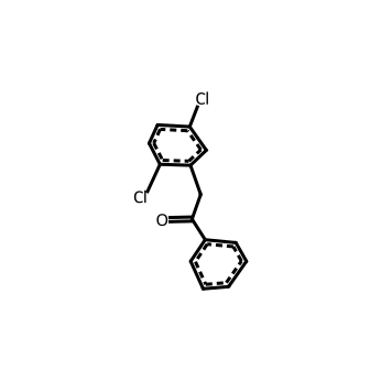 O=C(Cc1cc(Cl)ccc1Cl)c1ccccc1